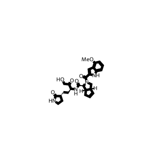 COc1cccc2[nH]c(C(=O)N3C[C@@H]4C=CC[C@@H]4[C@H]3C(=O)N[C@@H](CC[C@@H]3CCNC3=O)C(=O)CO)cc12